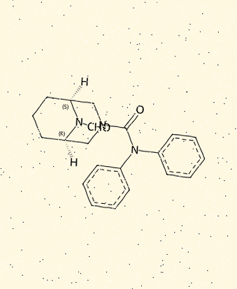 O=CN1[C@@H]2CCC[C@H]1CN(C(=O)N(c1ccccc1)c1ccccc1)C2